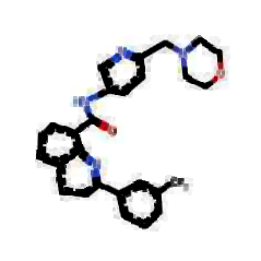 O=C(Nc1ccc(CN2CCOCC2)nc1)c1cccc2ccc(-c3cccc(C(F)(F)F)c3)nc12